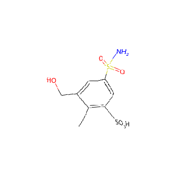 Cc1c(CO)cc(S(N)(=O)=O)cc1S(=O)(=O)O